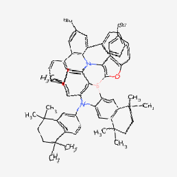 Cc1cc2c3c(c1)N(c1c(-c4ccccc4)cc(C(C)(C)C)cc1-c1ccccc1)c1c(oc4ccc(C(C)(C)C)cc14)B3c1cc3c(cc1N2c1ccc2c(c1)C(C)(C)CCC2(C)C)C(C)(C)CCC3(C)C